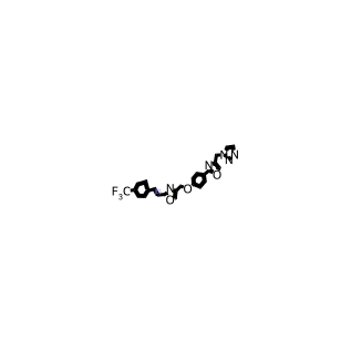 FC(F)(F)c1ccc(/C=C/c2nc(COc3ccc(-c4nc(Cn5ccnn5)co4)cc3)co2)cc1